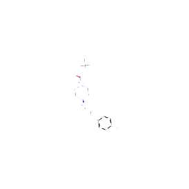 Cc1ccc(SON=C2CCN(C(=O)OC(C)(C)C)CC2)cc1